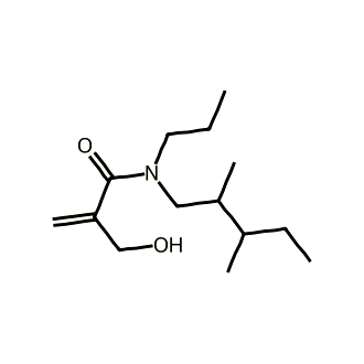 C=C(CO)C(=O)N(CCC)CC(C)C(C)CC